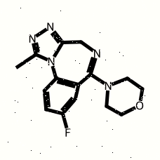 Cc1nnc2n1-c1ccc(F)cc1C(N1CCOCC1)=NC2